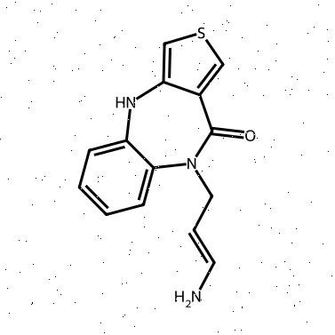 NC=CCN1C(=O)c2cscc2Nc2ccccc21